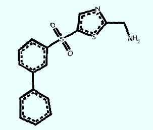 NCc1ncc(S(=O)(=O)c2c[c]cc(-c3ccccc3)c2)s1